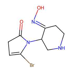 O=C1CC=C(Br)N1C1CNCCC1=NO